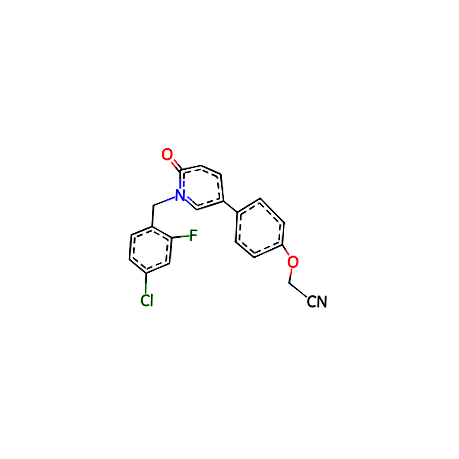 N#CCOc1ccc(-c2ccc(=O)n(Cc3ccc(Cl)cc3F)c2)cc1